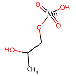 CC(O)C[O][Mo](=[O])(=[O])[OH]